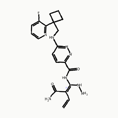 C=C/C(C(N)=O)=C(\NN)NC(=O)c1ccc(NCC2(c3ncccc3F)CCC2)nn1